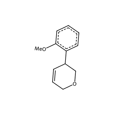 COc1ccccc1C1C=CCOC1